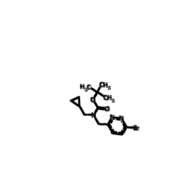 CC(C)(C)OC(=O)N(Cc1ccc(Br)nn1)CC1CC1